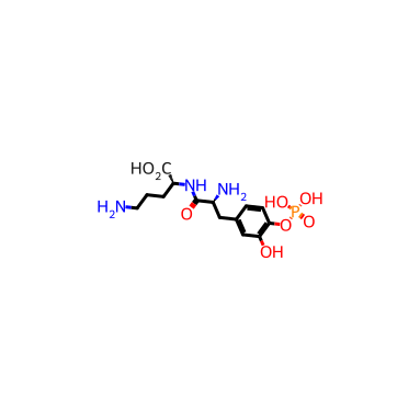 NCCC[C@H](NC(=O)[C@@H](N)Cc1ccc(OP(=O)(O)O)c(O)c1)C(=O)O